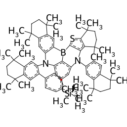 Cc1cc2c3c(c1)N(c1ccc4c(c1)C(C)(C)CCC4(C)C)c1c(sc4c1C(C)(C)CCC4(C)C)B3c1cc3c(cc1N2c1cc2c(cc1-c1ccc([Si](C)(C)C)cc1)C(C)(C)CCC2(C)C)C(C)(C)CCC3(C)C